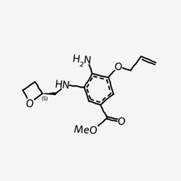 C=CCOc1cc(C(=O)OC)cc(NC[C@@H]2CCO2)c1N